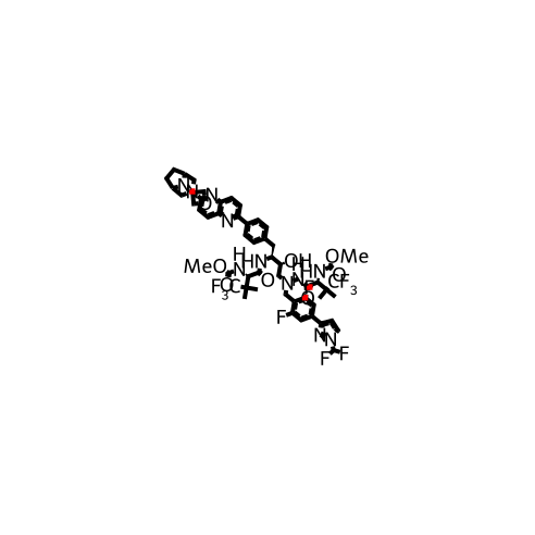 COC(=O)N[C@H](C(=O)N[C@@H](Cc1ccc(-c2ccc3nc(N4CC5CCC(C4)N5C4COC4)ccc3n2)cc1)[C@@H](O)CN(Cc1c(F)cc(-c2ccn(C(F)F)n2)cc1F)NC(=O)[C@@H](NC(=O)OC)C(C)(C)C(F)(F)F)C(C)(C)C(F)(F)F